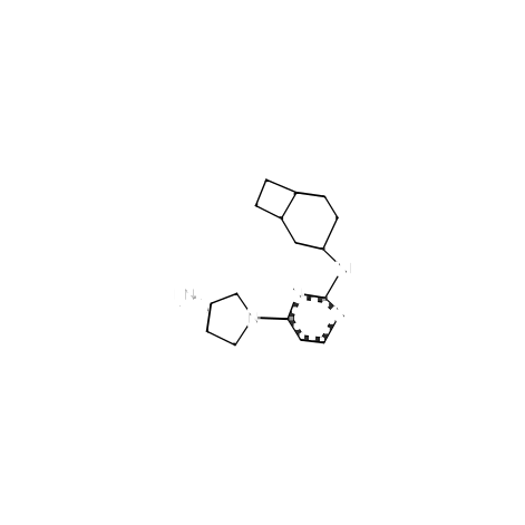 N[C@H]1CCN(c2ccnc(NC3CCC4CCC4C3)n2)C1